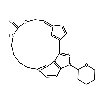 O=C1NCCCCc2ccc3c(c2)c(nn3C2CCCCO2)C2=CC(=CCO1)C=C2